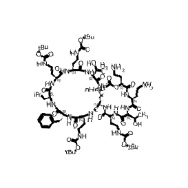 CCCCCCCC(=O)O[C@@H](CCN)C(=O)N[C@@H](CCN)C(=O)N[C@H](C(=O)N[C@@H](CCNC(=O)OC(C)(C)C)C(=O)N[C@H]1CCNC(=O)[C@H](C(C)O)NC(=O)[C@H](CCNC(=O)OC(C)(C)C)NC(=O)[C@H](CCNC(=O)OC(C)(C)C)NC(=O)[C@H](CC(C)C)NC(=O)[C@@H](Cc2ccccc2)NC(=O)[C@H](CCNC(=O)OC(C)(C)C)NC1)C(C)O